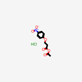 CC(=O)OC(=O)CCOc1ccc([N+](=O)[O-])cc1.Cl